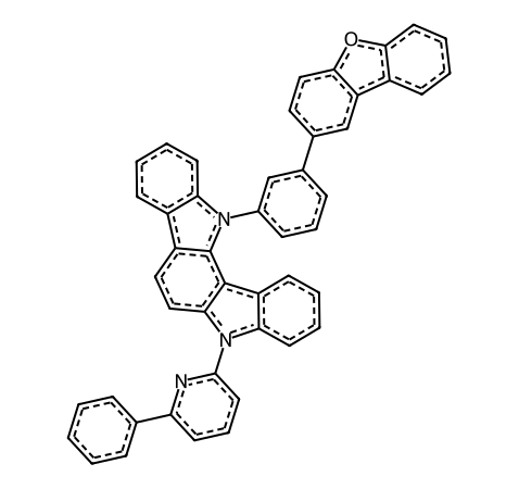 c1ccc(-c2cccc(-n3c4ccccc4c4c3ccc3c5ccccc5n(-c5cccc(-c6ccc7oc8ccccc8c7c6)c5)c34)n2)cc1